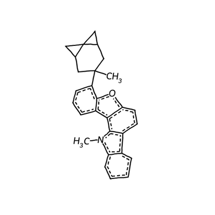 Cn1c2ccccc2c2ccc3oc4c(C5(C)CC6CC67CC7C5)cccc4c3c21